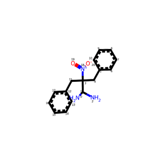 NC(N)C(Cc1ccccc1)(Cc1ccccc1)[N+](=O)[O-]